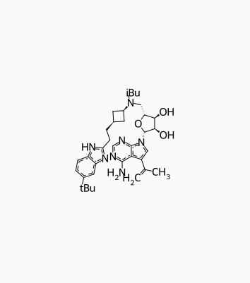 C=C(C)c1cn([C@@H]2O[C@H](CN(C(C)CC)[C@H]3C[C@@H](CCc4nc5cc(C(C)(C)C)ccc5[nH]4)C3)[C@@H](O)[C@H]2O)c2ncnc(N)c12